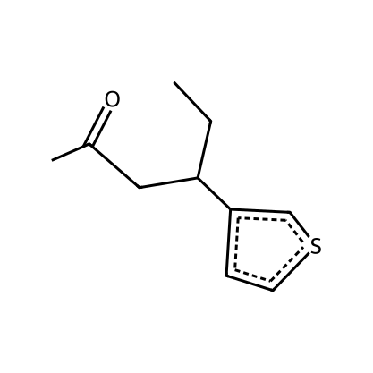 CCC(CC(C)=O)c1ccsc1